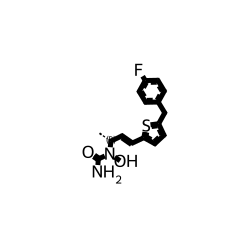 C[C@H](C=Cc1ccc(Cc2ccc(F)cc2)s1)N(O)C(N)=O